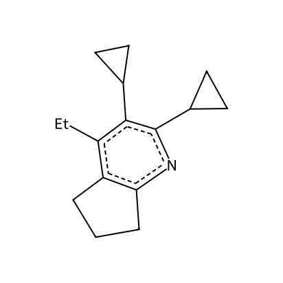 CCc1c2c(nc(C3CC3)c1C1CC1)CCC2